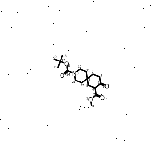 COC(=O)C1CC2(CCC1=O)CCN(C(=O)OC(C)(C)C)CC2